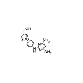 Nc1nc(N)nc(Nc2ccc([As]3SCC(CO)S3)cc2)n1